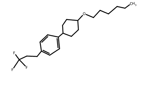 CCCCCCOC1CCC(c2ccc(CCC(F)(F)F)cc2)CC1